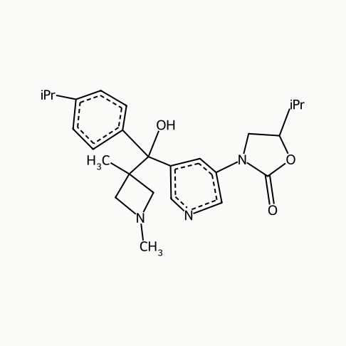 CC(C)c1ccc(C(O)(c2cncc(N3CC(C(C)C)OC3=O)c2)C2(C)CN(C)C2)cc1